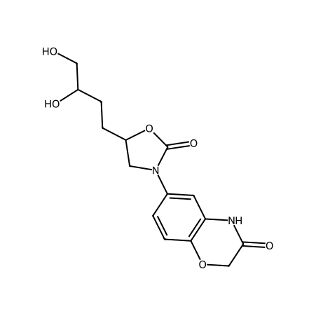 O=C1COc2ccc(N3CC(CCC(O)CO)OC3=O)cc2N1